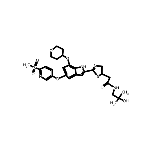 CC(C)(O)CNC(=O)CC1CN=C(c2cc3cc(Oc4ccc(S(C)(=O)=O)nc4)cc(OC4CCOCC4)c3[nH]2)S1